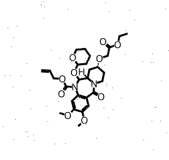 C=CCOC(=O)N1c2cc(OC)c(OC)cc2C(=O)N2CC[C@@H](OCC(=O)OCC)C[C@H]2C1OC1CCCCO1